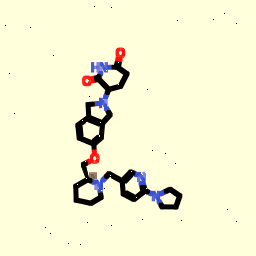 O=C1CCC(N2Cc3ccc(OC[C@@H]4CCCCN4Cc4ccc(N5CCCC5)nc4)cc3C2)C(=O)N1